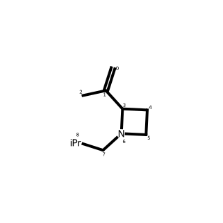 C=C(C)C1CCN1CC(C)C